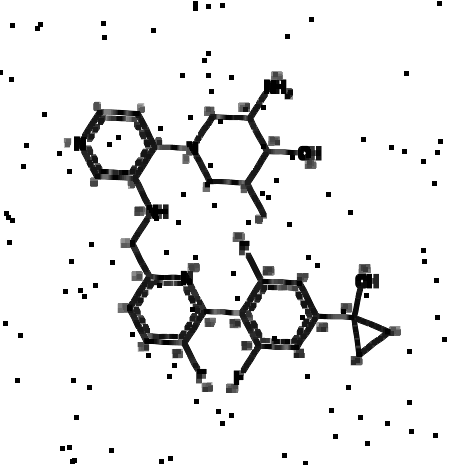 CC1CN(c2ccncc2NCc2ccc(F)c(-c3c(F)cc(C4(O)CC4)cc3F)n2)CC(N)C1O